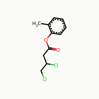 Cc1ccccc1OC(=O)CC(Cl)CCl